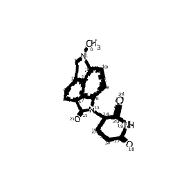 CN1Cc2ccc3c4c(ccc1c24)N(C1CCC(=O)NC1=O)C3=O